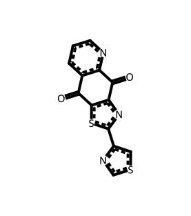 O=C1c2ncccc2C(=O)c2sc(-c3cscn3)nc21